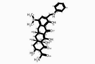 CN(C)c1cc(CNc2ccccc2)c(O)c2c1C[C@H]1C[C@H]3CC(O)C(C(N)=O)C(=O)[C@@]3(O)C(O)=C1C2=O